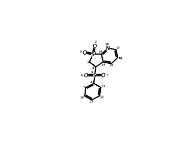 O=S1(=O)CC(S(=O)(=O)c2ccccc2)c2cccnc21